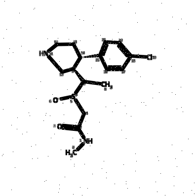 CNC(=O)C[S+]([O-])C(C)[C@H]1CNCC[C@@H]1c1ccc(Cl)cc1